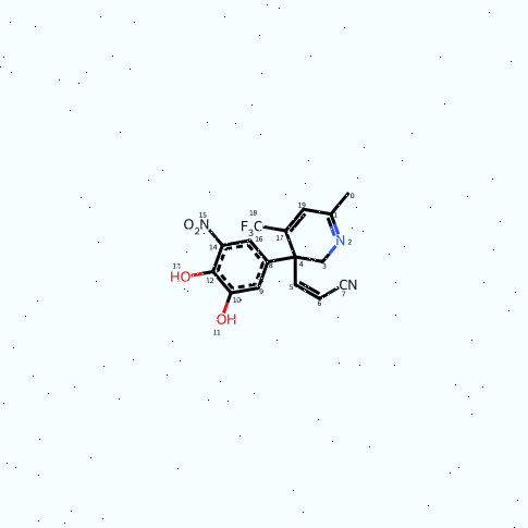 CC1=NCC(/C=C\C#N)(c2cc(O)c(O)c([N+](=O)[O-])c2)C(C(F)(F)F)=C1